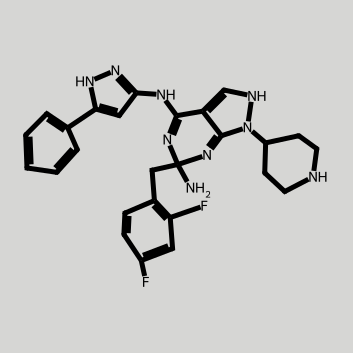 NC1(Cc2ccc(F)cc2F)N=C(Nc2cc(-c3ccccc3)[nH]n2)C2=CNN(C3CCNCC3)C2=N1